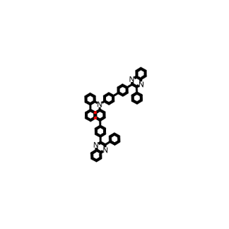 c1ccc(-c2ccccc2N(c2ccc(-c3ccc(-c4nc5ccccc5nc4-c4ccccc4)cc3)cc2)c2ccc(-c3ccc(-c4nc5ccccc5nc4-c4ccccc4)cc3)cc2)cc1